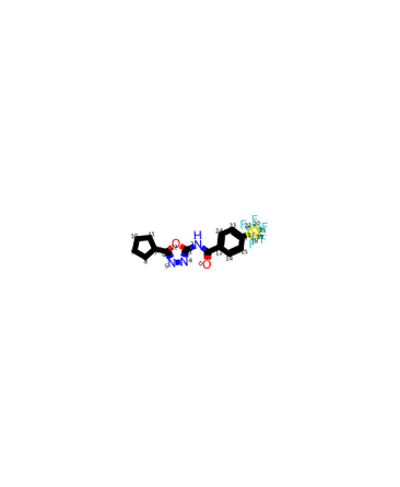 O=C(Nc1nnc(C2CCCC2)o1)c1ccc(S(F)(F)(F)(F)F)cc1